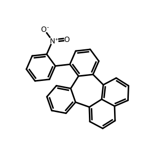 O=[N+]([O-])c1ccccc1-c1cccc2c1-c1ccccc1-c1cccc3cccc-2c13